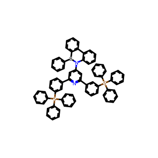 c1ccc(B2c3ccccc3-c3ccccc3N2c2cc(-c3cccc(S(c4ccccc4)(c4ccccc4)c4ccccc4)c3)nc(-c3cccc(S(c4ccccc4)(c4ccccc4)c4ccccc4)c3)c2)cc1